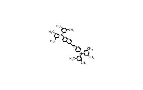 Cc1cc(C)cc(N(c2ccc(/C=C/c3ccc4cc(N(c5cc(C)cc(C)c5)c5cc(C)cc(C)c5)ccc4c3)cc2)c2cc(C)cc(C)c2)c1